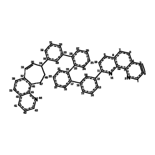 c1cnc2c(c#1)ccc1ccc(-c3cccc(-c4ccccc4-c4ccccc4-c4cccc(C5C=Cc6ccc7cccnc7c6CC5)c4)c3)nc12